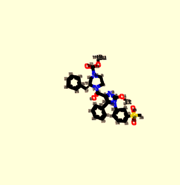 CCOc1nc(C(=O)N2CCN(C(=O)OC(C)(C)C)C[C@H]2Cc2ccccc2)c(-c2ccccc2)n1-c1cccc(S(C)(=O)=O)c1